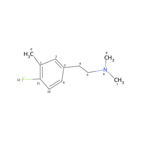 Cc1cc(CCN(C)C)ccc1F